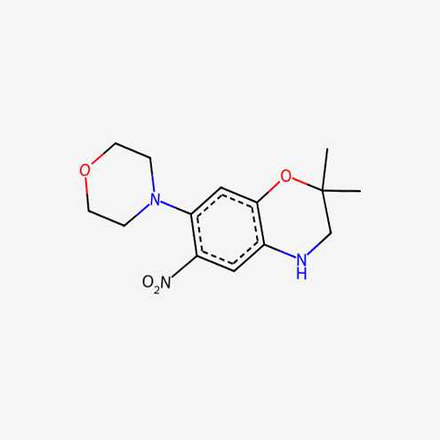 CC1(C)CNc2cc([N+](=O)[O-])c(N3CCOCC3)cc2O1